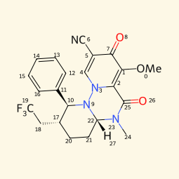 COc1c2n(cc(C#N)c1=O)N1[C@H](c3ccccc3)[C@@H](CC(F)(F)F)CC[C@H]1N(C)C2=O